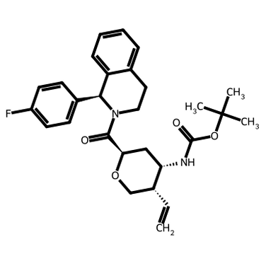 C=C[C@@H]1CO[C@@H](C(=O)N2CCc3ccccc3[C@@H]2c2ccc(F)cc2)C[C@@H]1NC(=O)OC(C)(C)C